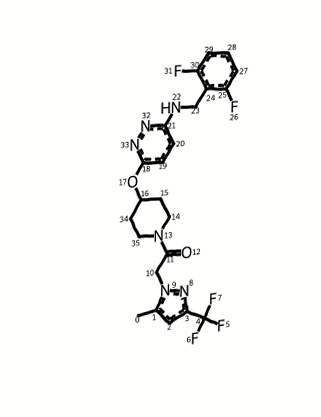 Cc1cc(C(F)(F)F)nn1CC(=O)N1CCC(Oc2ccc(NCc3c(F)cccc3F)nn2)CC1